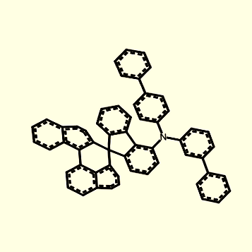 c1ccc(-c2ccc(N(c3cccc(-c4ccccc4)c3)c3cccc4c3-c3ccccc3C43c4ccc5ccccc5c4-c4cccc5cccc3c45)cc2)cc1